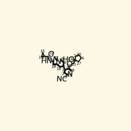 N#Cc1cc(-c2ccn3nc(NC(=O)C4CC4)cc3c2)c(OCC2(O)CCCC2)cn1